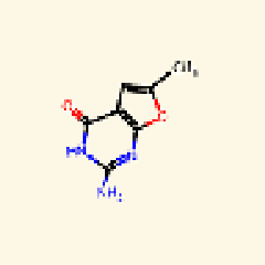 Cc1cc2c(=O)[nH]c(N)nc2o1